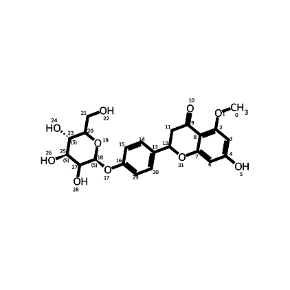 COc1cc(O)cc2c1C(=O)CC(c1ccc(O[C@@H]3OC(CO)[C@@H](O)[C@H](O)C3O)cc1)O2